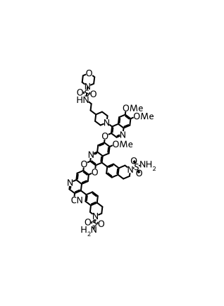 COc1cc2ncc(Oc3cc4nc5c(c(-c6ccc7c(c6)CN(S(N)(=O)=O)CC7)c4cc3OC)Oc3cc4c(-c6ccc7c(c6)CN(S(N)(=O)=O)CC7)c(C#N)cnc4cc3O5)c(N3CCC(CCNS(=O)(=O)N4CCOCC4)CC3)c2cc1OC